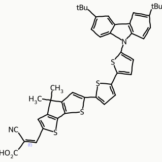 CC(C)(C)c1ccc2c(c1)c1cc(C(C)(C)C)ccc1n2-c1ccc(-c2ccc(-c3cc4c(s3)-c3sc(/C=C(\C#N)C(=O)O)cc3C4(C)C)s2)s1